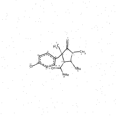 CCCCC1N(C)C(=O)C(C)(c2ccc(Cl)cc2)N1C(=O)NC